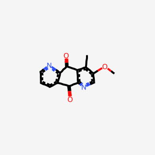 COc1cnc2c(c1C)C(=O)c1ncccc1C2=O